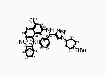 CC(C)(C)N1CCC(n2cc([C@@H](Nc3cc(Cl)c4ncc(C#N)c(NC5CC6CCC5C6)c4c3)c3ccccc3)nn2)CC1